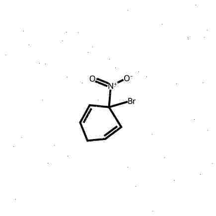 O=[N+]([O-])C1(Br)C=CCC=C1